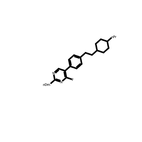 CCCCCCCCCCc1ncc(-c2ccc(CCC3CCC(CCC)CC3)cc2)c(F)n1